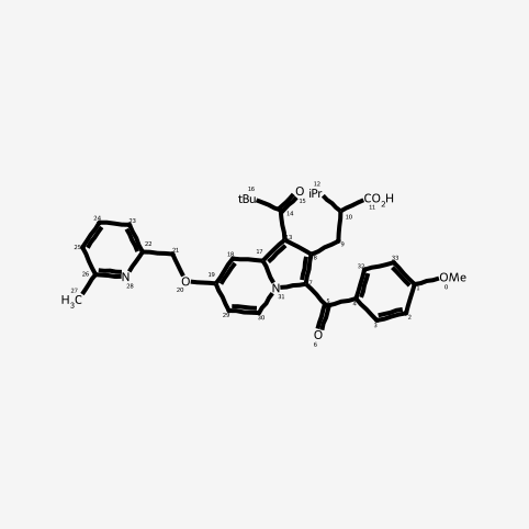 COc1ccc(C(=O)c2c(CC(C(=O)O)C(C)C)c(C(=O)C(C)(C)C)c3cc(OCc4cccc(C)n4)ccn23)cc1